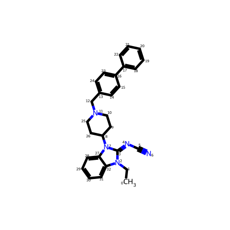 CCn1/c(=N\C#N)n(C2CCN(Cc3ccc(-c4ccccc4)cc3)CC2)c2ccccc21